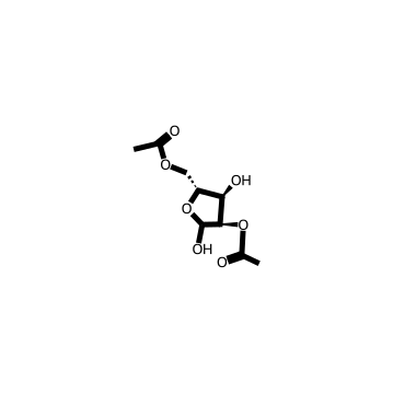 CC(=O)OC[C@H]1OC(O)[C@H](OC(C)=O)[C@@H]1O